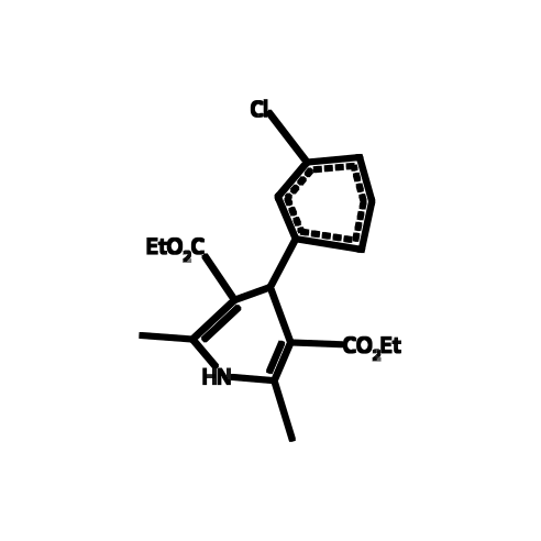 CCOC(=O)C1=C(C)NC(C)=C(C(=O)OCC)C1c1cccc(Cl)c1